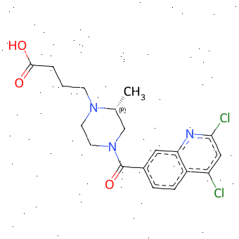 C[C@@H]1CN(C(=O)c2ccc3c(Cl)cc(Cl)nc3c2)CCN1CCCC(=O)O